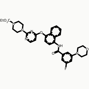 CCOC(=O)N1CCN(c2nccc(Oc3ccc(NC(=O)c4cc(F)cc(N5CCOCC5)c4)c4ccccc34)n2)CC1